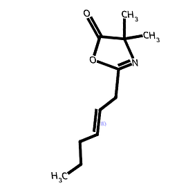 CCC/C=C/CC1=NC(C)(C)C(=O)O1